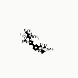 COC(=O)N(C(=O)c1cc(-c2cnn(-c3c(OC(F)F)c(C(F)(C(F)(F)F)C(F)(F)F)nn3C)c2)ccc1Cl)C1(C#N)CC1